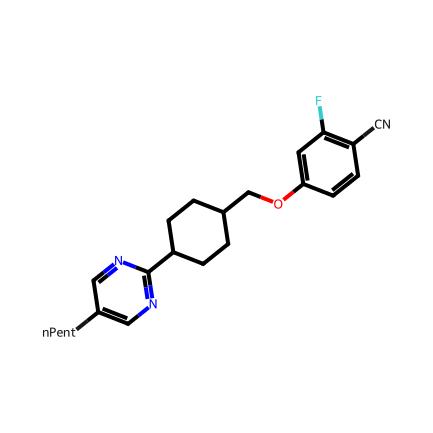 CCCCCc1cnc(C2CCC(COc3ccc(C#N)c(F)c3)CC2)nc1